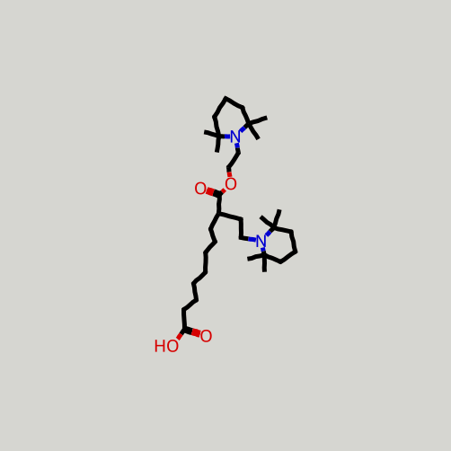 CC1(C)CCCC(C)(C)N1CCOC(=O)C(CCCCCCCC(=O)O)CCN1C(C)(C)CCCC1(C)C